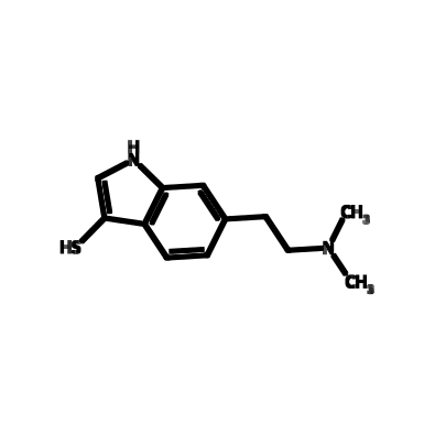 CN(C)CCc1ccc2c(S)c[nH]c2c1